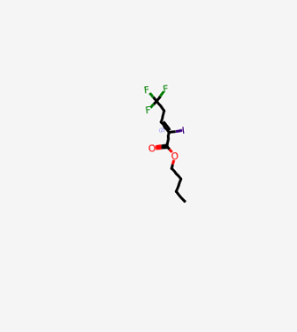 CCCCOC(=O)/C(I)=C/CC(F)(F)F